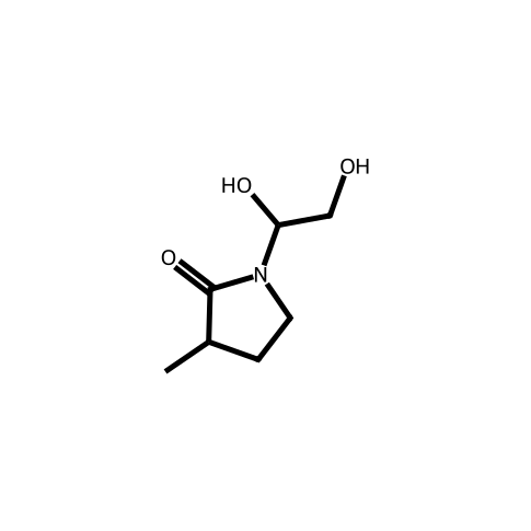 CC1CCN(C(O)CO)C1=O